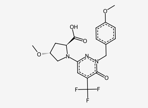 COc1ccc(Cn2nc(N3C[C@H](OC)C[C@H]3C(=O)O)cc(C(F)(F)F)c2=O)cc1